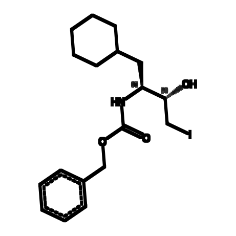 O=C(N[C@@H](CC1CCCCC1)[C@H](O)CI)OCc1ccccc1